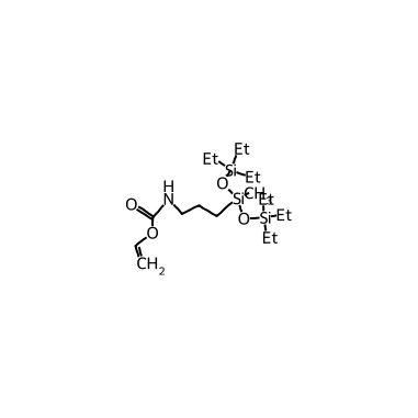 C=COC(=O)NCCC[Si](C)(O[Si](CC)(CC)CC)O[Si](CC)(CC)CC